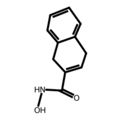 O=C(NO)C1=CCc2ccccc2C1